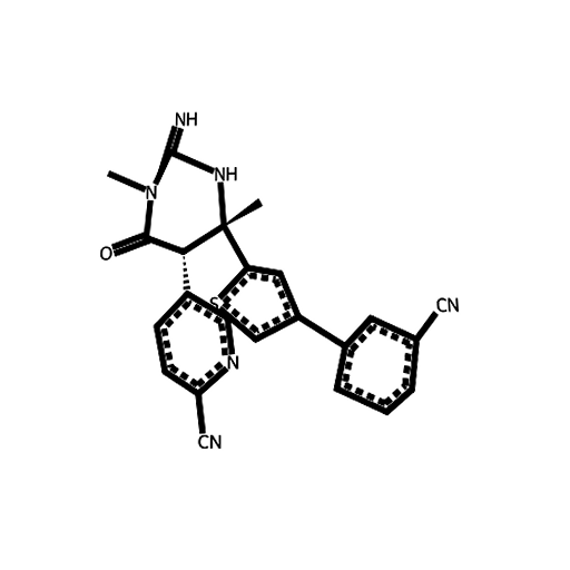 CN1C(=N)N[C@](C)(c2cc(-c3cccc(C#N)c3)cs2)[C@H](c2ccc(C#N)nc2)C1=O